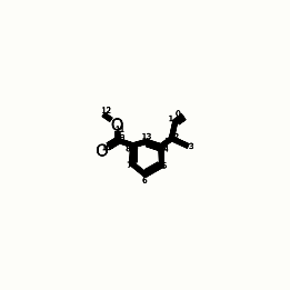 C=C[C](C)c1cccc(C(=O)OC)c1